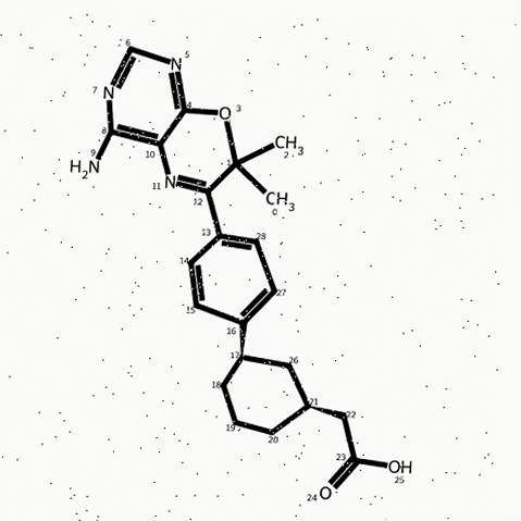 CC1(C)Oc2ncnc(N)c2N=C1c1ccc([C@@H]2CCC[C@H](CC(=O)O)C2)cc1